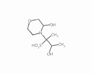 CC(O)C(C)(N1CCOCC1O)S(=O)(=O)O